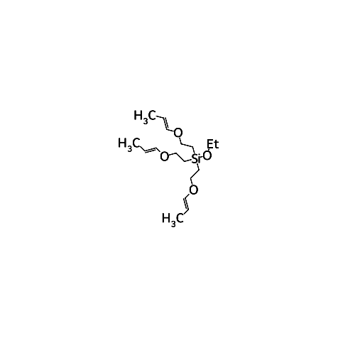 CC=COCC[Si](CCOC=CC)(CCOC=CC)OCC